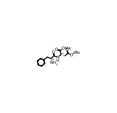 COC(=O)[C@H](CC(=O)OC(C)(C)C)NC(=O)[C@H](N)Cc1ccccc1